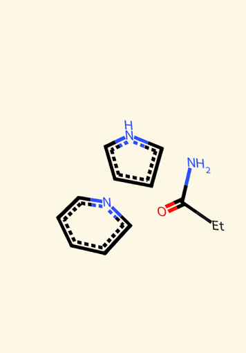 CCC(N)=O.c1cc[nH]c1.c1ccncc1